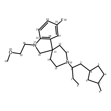 CCC(CC1CCC(C)C1)N1CCC2(CC1)CN(CCOC)c1ccc(F)cc12